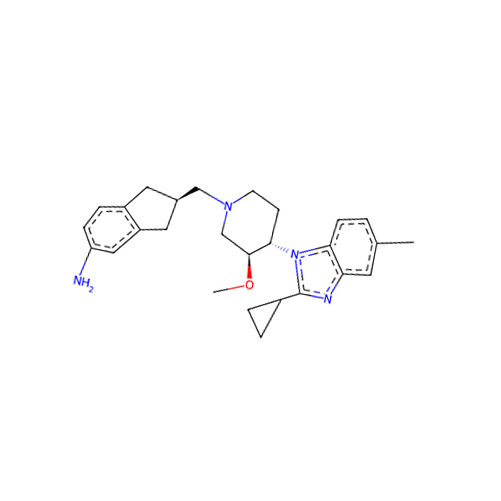 CO[C@H]1CN(C[C@@H]2Cc3ccc(N)cc3C2)CC[C@@H]1n1c(C2CC2)nc2cc(C)ccc21